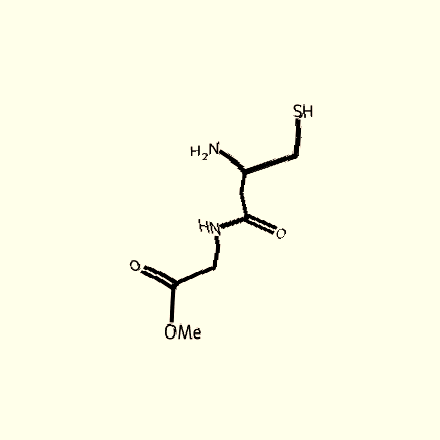 COC(=O)CNC(=O)C(N)CS